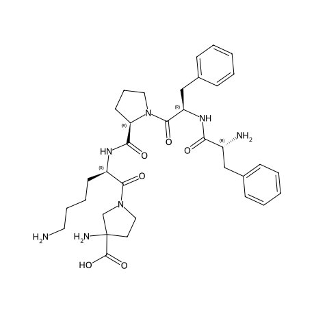 NCCCC[C@@H](NC(=O)[C@H]1CCCN1C(=O)[C@@H](Cc1ccccc1)NC(=O)[C@H](N)Cc1ccccc1)C(=O)N1CCC(N)(C(=O)O)C1